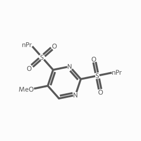 CCCS(=O)(=O)c1ncc(OC)c(S(=O)(=O)CCC)n1